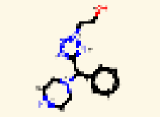 OCCn1nnc(C(c2ccccc2)N2CCNCC2)n1